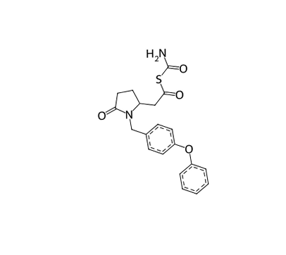 NC(=O)SC(=O)CC1CCC(=O)N1Cc1ccc(Oc2ccccc2)cc1